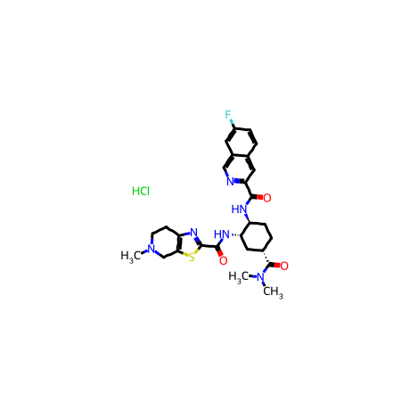 CN1CCc2nc(C(=O)N[C@H]3C[C@@H](C(=O)N(C)C)CC[C@@H]3NC(=O)c3cc4ccc(F)cc4cn3)sc2C1.Cl